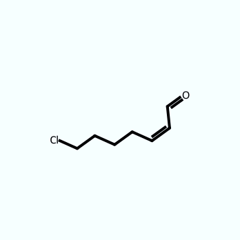 O=C/C=C\CCCCCl